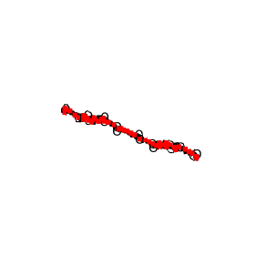 C=C(C)C(=C)OCCCCCCOc1ccc(C(=O)Oc2ccc(-c3ccc(C(=O)OCCCCCCOC(=O)CCCCCCCCCCC(=O)OCCCCCCOC(=O)c4ccc(-c5ccc(OC(=O)c6ccc(OCCCCCCOC(=O)C(=C)C)cc6)cc5)cc4)cc3)cc2)cc1